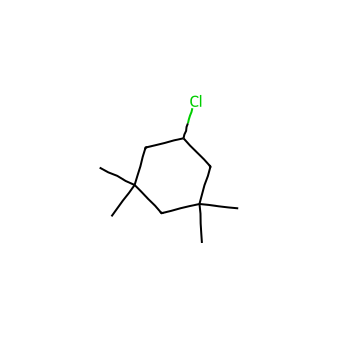 CC1(C)CC(Cl)CC(C)(C)C1